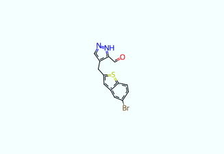 O=Cc1[nH]ncc1Cc1cc2cc(Br)ccc2s1